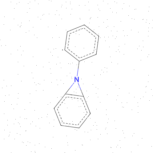 [c]1ccccc1N1c2ccccc21